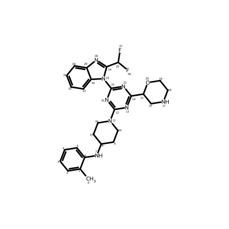 Cc1ccccc1NC1CCN(c2nc(C3CNCCO3)nc(-n3c(C(F)F)nc4ccccc43)n2)CC1